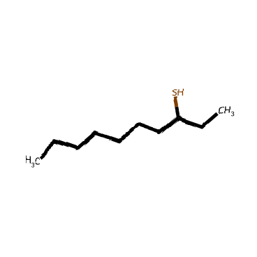 CCCCCCCC(S)CC